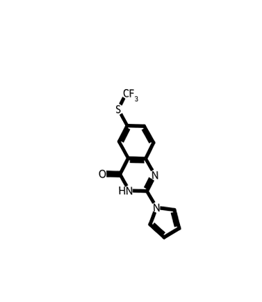 O=c1[nH]c(-n2cccc2)nc2ccc(SC(F)(F)F)cc12